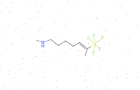 CNCCCC/C=C(\C)S(F)(F)(F)(F)F